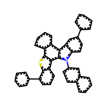 c1ccc(-c2ccc3c(c2)c2c4ccccc4c4sc5c(-c6ccccc6)cccc5c4c2n3-c2ccc3ccccc3c2)cc1